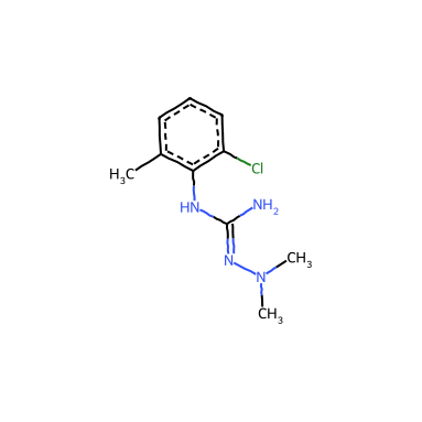 Cc1cccc(Cl)c1N/C(N)=N/N(C)C